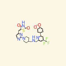 O=C1NC(=O)C(=Cc2ccnc(N3CCC(CNCc4cc(C(F)(F)F)cc(-c5ccc6c(c5)OCO6)n4)CC3)n2)S1